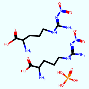 NC(=N[N+](=O)[O-])NCCCC(N)C(=O)O.NC(=N[N+](=O)[O-])NCCCC(N)C(=O)O.O=P(O)(O)O